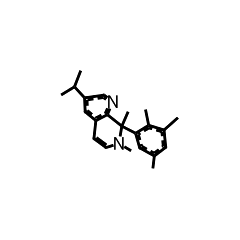 Cc1cc(C)c(C)c(C2(C)c3ncc(C(C)C)cc3C=CN2C)c1